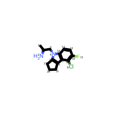 CC(N)Cn1c2c(c3c(Cl)c(F)ccc31)CCC2